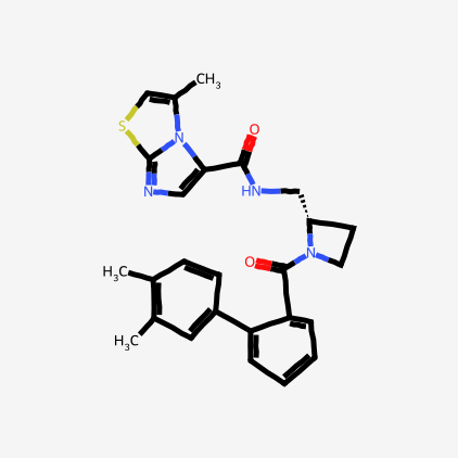 Cc1ccc(-c2ccccc2C(=O)N2CC[C@H]2CNC(=O)c2cnc3scc(C)n23)cc1C